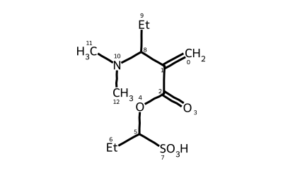 C=C(C(=O)OC(CC)S(=O)(=O)O)C(CC)N(C)C